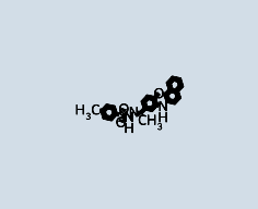 C/C(=N\NS(=O)(=O)c1ccc(C)cc1)c1ccc2c(c1)Nc1ccc3ccccc3c1O2